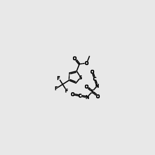 COC(=O)c1cc(C(F)(F)F)cs1.O=C=NS(=O)(=O)N=C=O